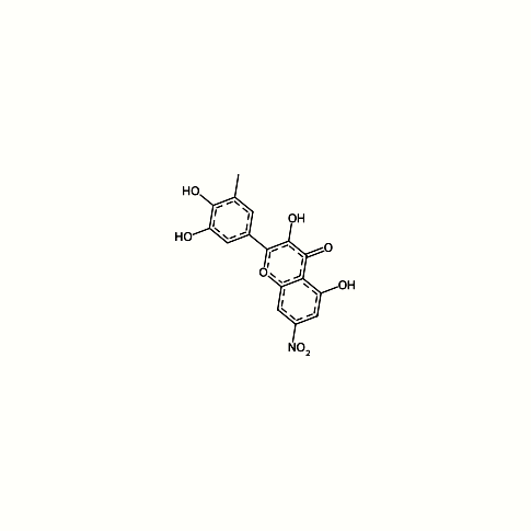 Cc1cc(-c2oc3cc([N+](=O)[O-])cc(O)c3c(=O)c2O)cc(O)c1O